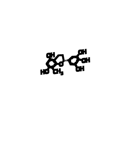 Cc1c(O)cc(O)c2c1O[C@@H](c1cc(O)c(O)c(O)c1)CC2